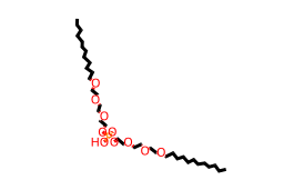 CCCCCCCCCCCCOCCOCCOCCOP(=O)(O)OCCOCCOCCOCCCCCCCCCCCC